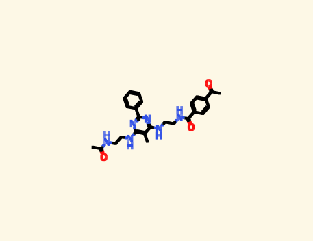 CC(=O)NCCNc1nc(-c2ccccc2)nc(NCCNC(=O)c2ccc(C(C)=O)cc2)c1C